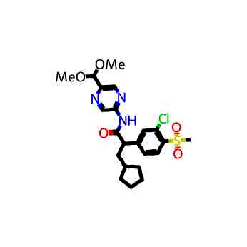 COC(OC)c1cnc(NC(=O)C(CC2CCCC2)c2ccc(S(C)(=O)=O)c(Cl)c2)cn1